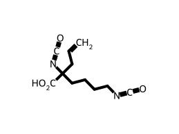 C=CCC(CCCCN=C=O)(N=C=O)C(=O)O